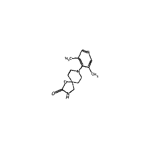 Cc1cncc(C)c1N1CCC2(CC1)CNC(=O)O2